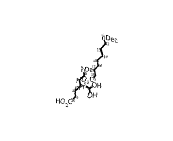 CCCC(O)O.CCCCCCCCCCCCCCCC(=O)O.CCCCCCCCCCCCCCCCCC(=O)O